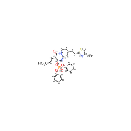 CC(C)c1csc(CCc2ccn3c(=O)c(C=CC(=O)O)c(OP(=O)(Oc4ccccc4)Oc4ccccc4)nc3c2)n1